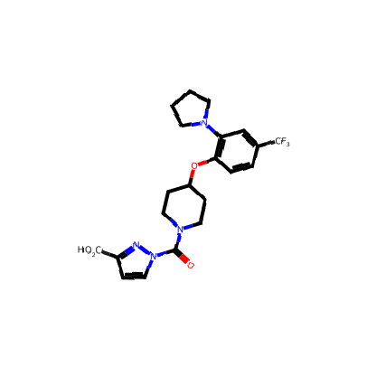 O=C(O)c1ccn(C(=O)N2CCC(Oc3ccc(C(F)(F)F)cc3N3CCCC3)CC2)n1